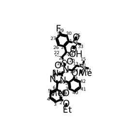 CCOc1cccc(-c2nnc(N(CC[Si](C)(C)C)S(=O)(=O)[C@H](C)[C@@H](O)c3ccc(F)cc3S(C)(=O)=O)n2-c2c(OC)cccc2OC)n1